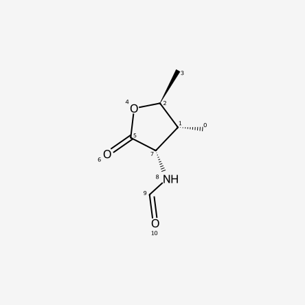 C[C@H]1[C@H](C)OC(=O)[C@H]1NC=O